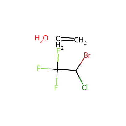 C=C.FC(F)(F)C(Cl)Br.O